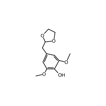 COc1cc(CC2OCCO2)cc(OC)c1O